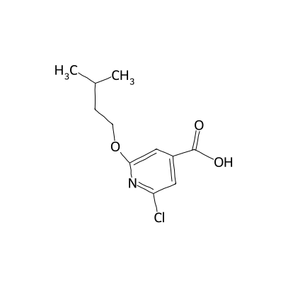 CC(C)CCOc1cc(C(=O)O)cc(Cl)n1